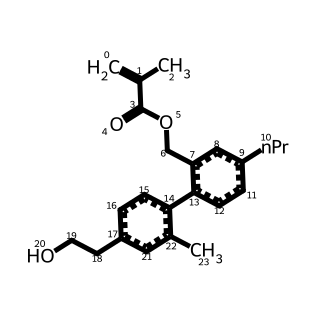 C=C(C)C(=O)OCc1cc(CCC)ccc1-c1ccc(CCO)cc1C